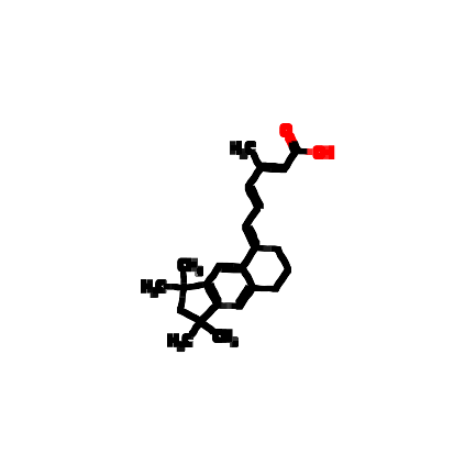 CC(C=CC=C1CCCc2cc3c(cc21)C(C)(C)CC3(C)C)=CC(=O)O